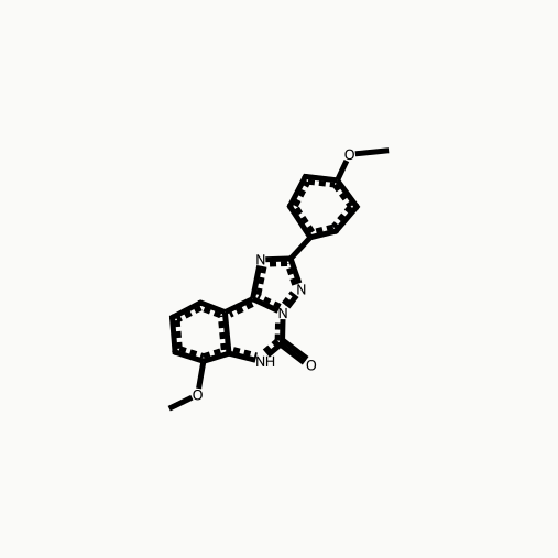 COc1ccc(-c2nc3c4cccc(OC)c4[nH]c(=O)n3n2)cc1